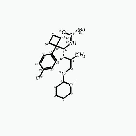 C[C@@H](COC1CCCCO1)C[C@@H](N[S@+]([O-])C(C)(C)C)C1(c2ccc(Cl)cc2)CCC1